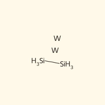 [SiH3][SiH3].[W].[W]